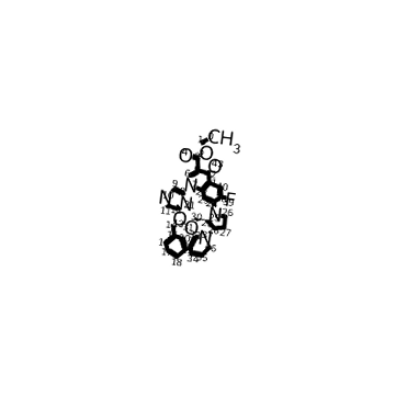 CCOC(=O)c1cn(-c2cncc(OCc3ccccc3)n2)c2cc(N3CCC[C@@H]3COc3ccccn3)c(F)cc2c1=O